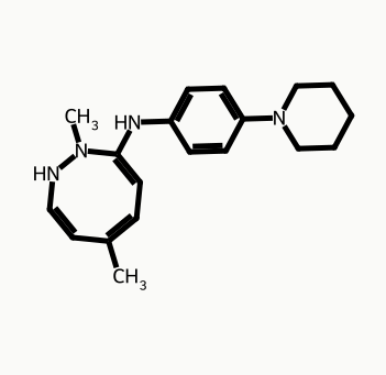 Cc1cc[nH]n(C)c(Nc2ccc(N3CCCCC3)cc2)cc1